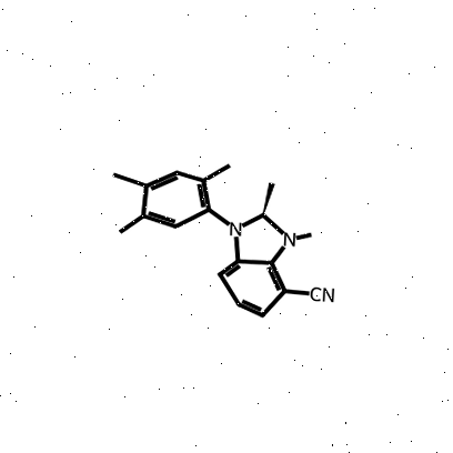 Cc1cc(C)c(N2c3cccc(C#N)c3N(C)[C@@H]2C)cc1C